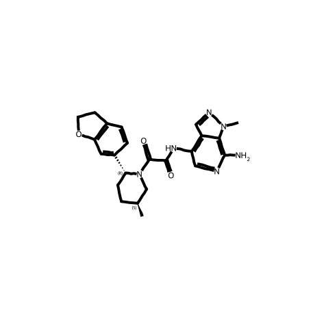 C[C@H]1CC[C@H](c2ccc3c(c2)OCC3)N(C(=O)C(=O)Nc2cnc(N)c3c2cnn3C)C1